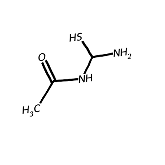 CC(=O)NC(N)S